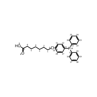 CCCCCCCC(=O)O.c1ccc(P(c2ccccc2)c2ccccc2)cc1